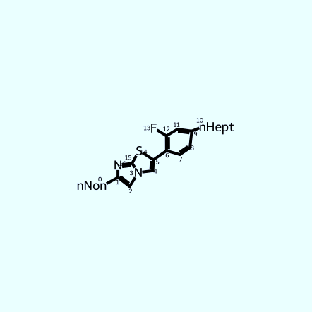 CCCCCCCCCc1cn2cc(-c3ccc(CCCCCCC)cc3F)sc2n1